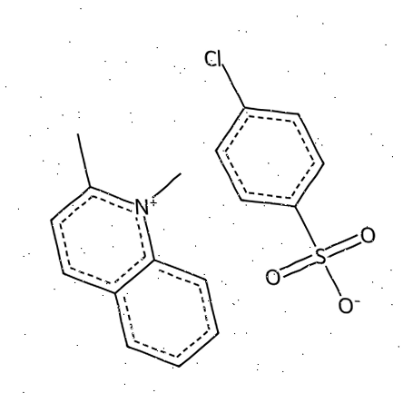 Cc1ccc2ccccc2[n+]1C.O=S(=O)([O-])c1ccc(Cl)cc1